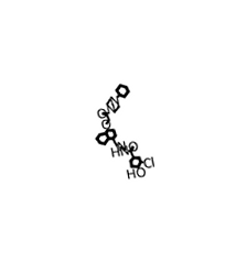 O=C(N/N=C/c1ccc(OCC(=O)N2CCN(c3ccccc3)CC2)c2ccccc12)c1ccc(O)c(Cl)c1